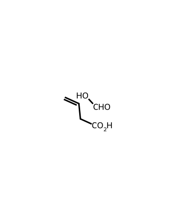 C=CCC(=O)O.O=CO